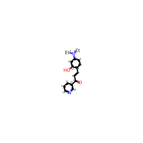 CCN(CC)c1ccc(C=CC(=O)c2cccnc2)c(O)c1